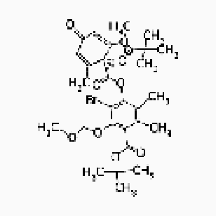 COCOc1c(Br)c(OC(=O)[C@@]2(OOC(C)(C)C)C(C)=CC(=O)C=C2OC)c(C)c(C)c1C(=O)OC(C)(C)C